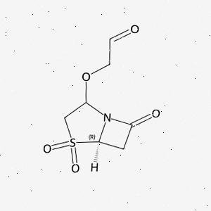 O=CCOC1CS(=O)(=O)[C@@H]2CC(=O)N12